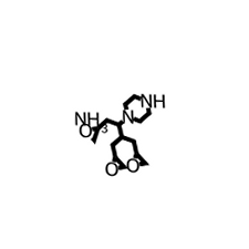 C1CN(C(CC2CO2)C(CC2CO2)CC2CO2)CCN1.N